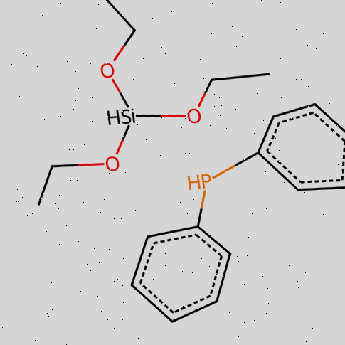 CCO[SiH](OCC)OCC.c1ccc(Pc2ccccc2)cc1